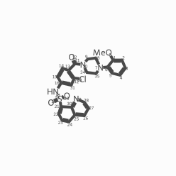 COc1ccccc1N1CCN(C(=O)c2ccc(NS(=O)(=O)c3cccc4cccnc34)cc2Cl)CC1